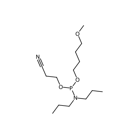 CCCN(CCC)P(OCCC#N)OCCCCOC